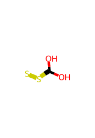 OC(O)=S=S